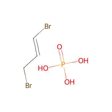 BrC=CCBr.O=P(O)(O)O